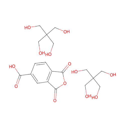 O=C(O)c1ccc2c(c1)C(=O)OC2=O.OCC(CO)(CO)CO.OCC(CO)(CO)CO